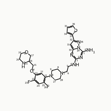 Nc1nc(NCCN2CCN(c3cc(OCC4COCCN4)c(F)cc3F)CC2)nc2cc(-c3ccco3)nn12